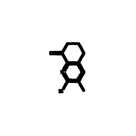 CCc1nc2c(cc1C)CCCC2=O